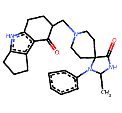 CC1NC(=O)C2(CCN(CC3CCc4[nH]c5c(c4C3=O)CCC5)CC2)N1c1ccccc1